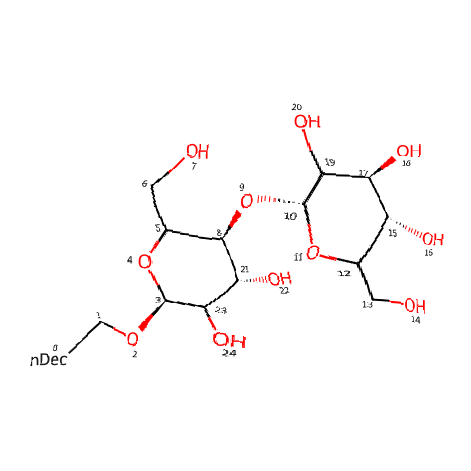 CCCCCCCCCCCO[C@H]1OC(CO)[C@@H](O[C@H]2OC(CO)[C@@H](O)[C@H](O)C2O)[C@H](O)C1O